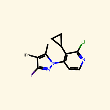 Cc1c(C(C)C)c(I)nn1-c1ccnc(Cl)c1C1CC1